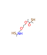 CC(S)NCCOCCCO[C@@H](C)C(=O)C(C)S